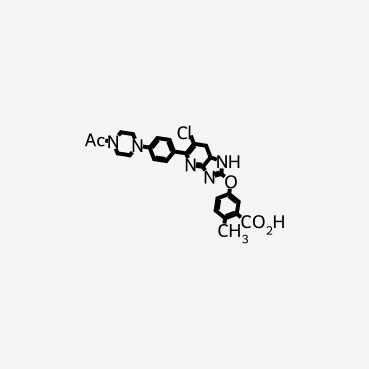 CC(=O)N1CCN(c2ccc(C3=C(Cl)CC4NC(Oc5ccc(C)c(C(=O)O)c5)=NC4=N3)cc2)CC1